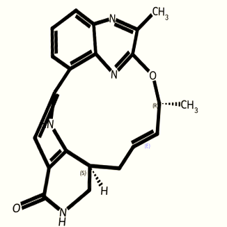 Cc1nc2cccc3c2nc1O[C@H](C)/C=C/C[C@H]1CNC(=O)c2cc-3[nH]c21